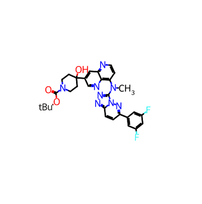 CN(c1ccnc2cc(C3(O)CCN(C(=O)OC(C)(C)C)CC3)cnc12)c1nnc2ccc(-c3cc(F)cc(F)c3)nn12